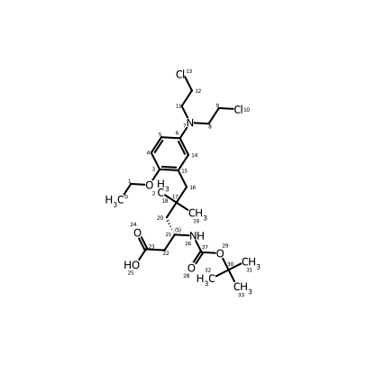 CCOc1ccc(N(CCCl)CCCl)cc1CC(C)(C)C[C@@H](CC(=O)O)NC(=O)OC(C)(C)C